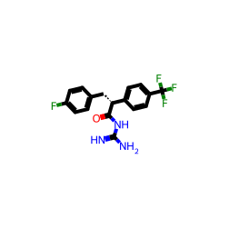 N=C(N)NC(=O)[C@H](Cc1ccc(F)cc1)c1ccc(C(F)(F)F)cc1